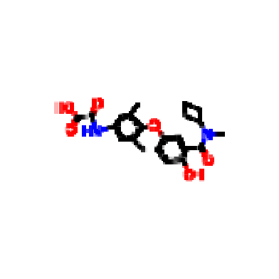 Cc1cc(NC(=O)C(=O)O)cc(C)c1Oc1ccc(O)c(C(=O)N(C)C2CCC2)c1